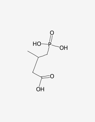 CC(CC(=O)O)CP(=O)(O)O